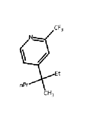 CCCC(C)(CC)c1ccnc(C(F)(F)F)c1